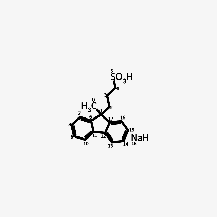 CC1(CCCS(=O)(=O)O)c2ccccc2-c2ccccc21.[NaH]